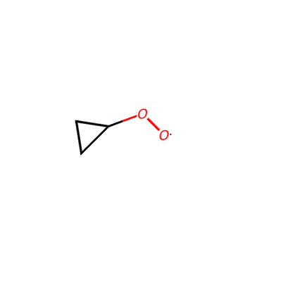 [O]OC1CC1